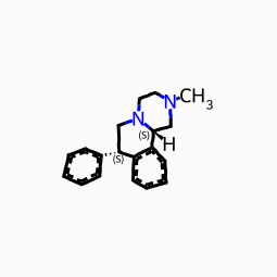 CN1CCN2C[C@@H](c3ccccc3)c3ccccc3[C@H]2C1